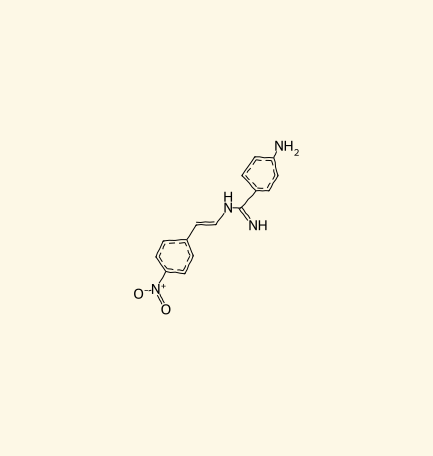 N=C(N/C=C/c1ccc([N+](=O)[O-])cc1)c1ccc(N)cc1